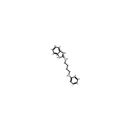 c1ccc(OCCCCOc2nc3ccccc3s2)cc1